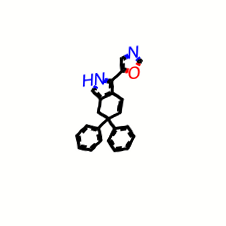 C1=CC(c2ccccc2)(c2ccccc2)Cc2c[nH]c(-c3cnco3)c21